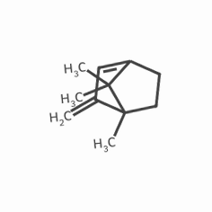 C=C1C=C2CCC1(C)C2(C)C